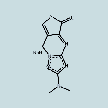 CN(C)c1nc2n(n1)CC1=CSC(=O)C1=N2.[NaH]